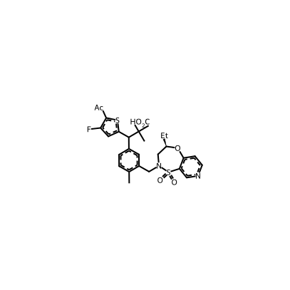 CC[C@@H]1CN(Cc2cc(C(c3cc(F)c(C(C)=O)s3)C(C)(C)C(=O)O)ccc2C)S(=O)(=O)c2cnccc2O1